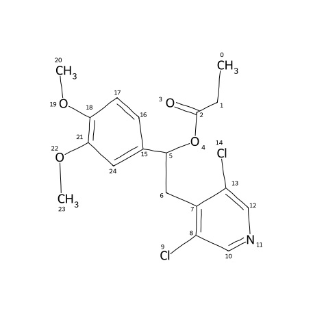 CCC(=O)OC(Cc1c(Cl)cncc1Cl)c1ccc(OC)c(OC)c1